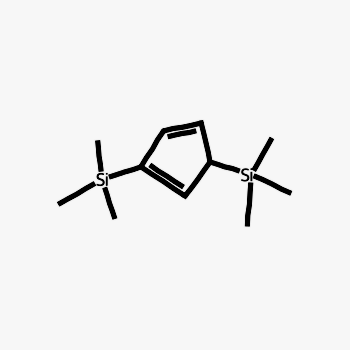 C[Si](C)(C)C1=CC([Si](C)(C)C)C=C1